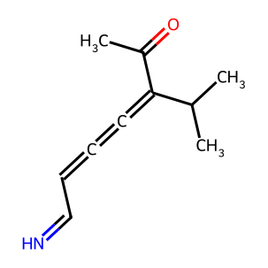 CC(=O)C(=C=C=CC=N)C(C)C